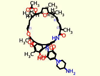 CC(=O)O[C@@H]1[C@H](C)C/C=C/O[C@@]2(C)Oc3c(C)c(O)c4c(=O)c(c5oc6cc(N7CCC(N)CC7)cc(O)c6nc-5c4c3C2=O)NC(=O)/C(C)=C\C=C\[C@H](C)[C@@H]2O[C@@H]1C[C@@H]2C